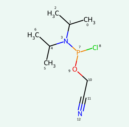 CC(C)N(C(C)C)P(Cl)OCC#N